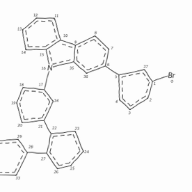 Brc1cccc(-c2ccc3c4ccccc4n(-c4cccc(-c5ccccc5-c5ccccc5)c4)c3c2)c1